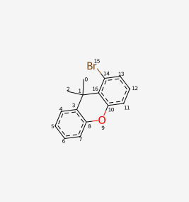 CC1(C)c2ccccc2Oc2cccc(Br)c21